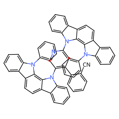 N#Cc1ccccc1-c1cc(-n2c3ccccc3c3ccc4c5ccccc5n(-c5ccccc5)c4c32)ncc1-n1c2ccccc2c2ccc3c4ccccc4n(-c4ccccc4)c3c21